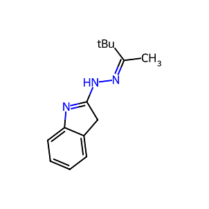 C/C(=N/NC1=Nc2ccccc2C1)C(C)(C)C